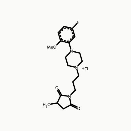 COc1ccc(F)cc1N1CCN(CCCN2C(=O)CC(C)C2=O)CC1.Cl